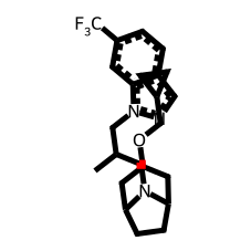 CC(CN1C2CCC1CC(OCC1CC1)C2)Cn1ncc2ccc(C(F)(F)F)cc21